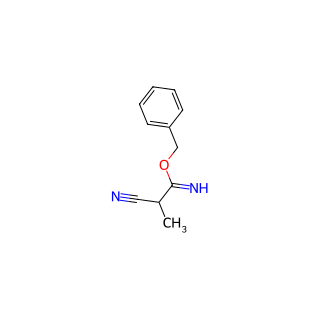 CC(C#N)C(=N)OCc1ccccc1